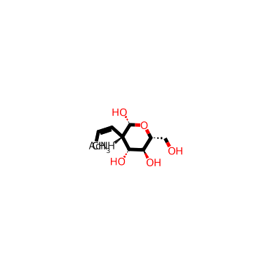 C/C=C\[C@]1(NC(C)=O)[C@H](O)O[C@H](CO)[C@@H](O)[C@@H]1O